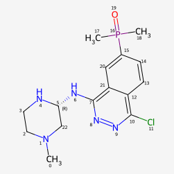 CN1CCN[C@H](Nc2nnc(Cl)c3ccc(P(C)(C)=O)cc23)C1